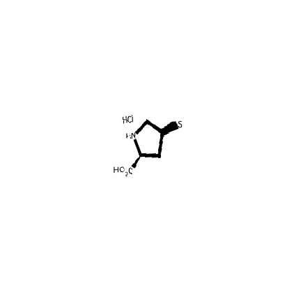 Cl.O=C(O)[C@@H]1CC(=S)CN1